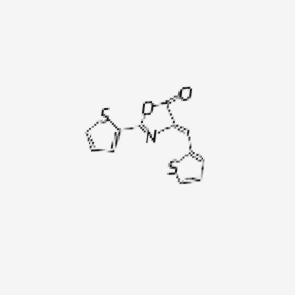 O=C1OC(c2cccs2)=N/C1=C\c1cccs1